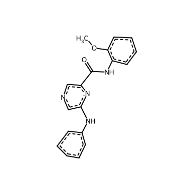 COc1ccccc1NC(=O)c1cncc(Nc2ccccc2)n1